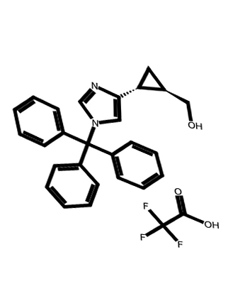 O=C(O)C(F)(F)F.OC[C@@H]1C[C@H]1c1cn(C(c2ccccc2)(c2ccccc2)c2ccccc2)cn1